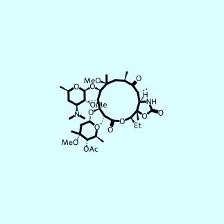 CC[C@H]1OC(=O)[C@H](C)[C@@H](O[C@H]2C[C@@](C)(OC)[C@@H](OC(C)=O)[C@H](C)O2)[C@H](C)[C@@H](O[C@@H]2O[C@H](C)C[C@H](N(C)C)[C@H]2OC)[C@@](C)(OC)C[C@@H](C)C(=O)[C@H](C)[C@H]2NC(=O)O[C@@]21C